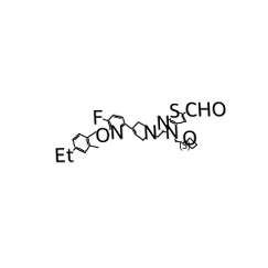 CCc1ccc(COc2nc(C3=CCN(Cc4nc5sc(C=O)cc5n4C[C@@H]4CCO4)CC3)ccc2F)c(C)c1